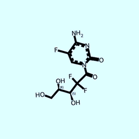 Nc1nc(=O)n(C(=O)C(F)(F)[C@@H](O)[C@H](O)CO)cc1F